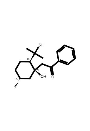 C[C@@H]1CC[C@@H](C(C)(C)S)[C@](O)(CC(=O)c2ccccc2)C1